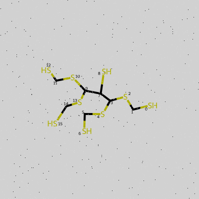 SCSC(SCS)C(S)C(SCS)SCS